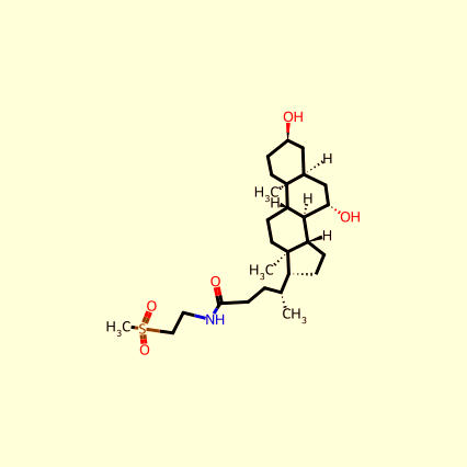 C[C@H](CCC(=O)NCCS(C)(=O)=O)[C@H]1CC[C@H]2[C@@H]3[C@@H](O)C[C@@H]4C[C@H](O)CC[C@]4(C)[C@H]3CC[C@]12C